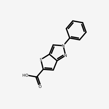 O=C(O)c1cc2nn(-c3ccccc3)cc2s1